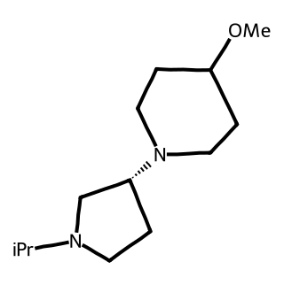 COC1CCN([C@@H]2CCN(C(C)C)C2)CC1